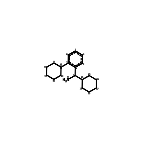 NC(c1ccccc1N1CCCCC1)C1CCCCC1